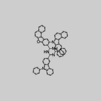 c1ccc(C2N=C(c3ccc4c(c3)c3ccccc3n4-c3ccccc3)NC(c3cc4oc5ccc6ccccc6c5c4cc3-n3c4cc5ccccc5cc4c4c5ccccc5ccc43)N2)cc1